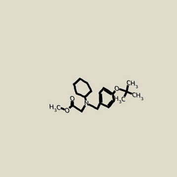 COC(=O)CN(Cc1ccc(OC(C)(C)C)cc1)C1CCCCC1